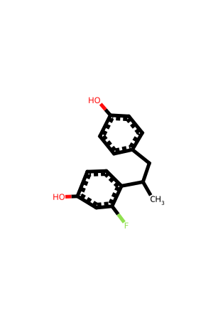 CC(Cc1ccc(O)cc1)c1ccc(O)cc1F